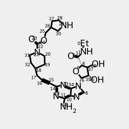 CCNC(=O)[C@H]1O[C@@H](n2cnc3c(N)nc(C#CCC4CCN(C(=O)OCC5CCNC5)CC4)nc32)[C@@H](O)C1O